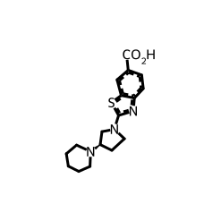 O=C(O)c1ccc2nc(N3CC[C@@H](N4CCCCC4)C3)sc2c1